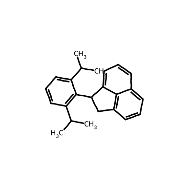 CC(C)c1cccc(C(C)C)c1C1Cc2cccc3cccc1c23